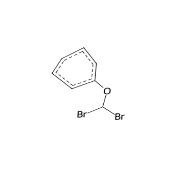 BrC(Br)Oc1ccccc1